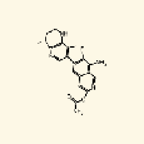 Cc1c(-c2cc3cc(OC(N)=O)ncc3c(N)c2F)cnc2c1NCC[C@H]2C